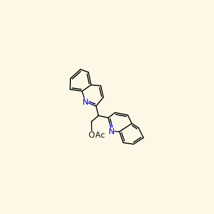 CC(=O)OCC(c1ccc2ccccc2n1)c1ccc2ccccc2n1